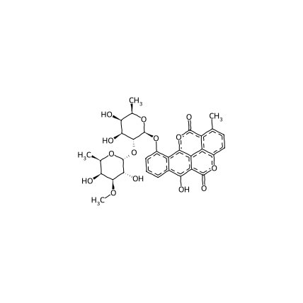 CO[C@H]1[C@@H](O)[C@@H](C)O[C@H](O[C@H]2[C@H](Oc3cccc4c(O)c5c(=O)oc6ccc(C)c7c(=O)oc(c34)c5c67)O[C@H](C)[C@H](O)[C@@H]2O)[C@@H]1O